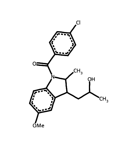 COc1ccc2c(c1)C(CC(C)O)C(C)N2C(=O)c1ccc(Cl)cc1